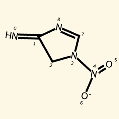 N=C1CN([N+](=O)[O-])C=N1